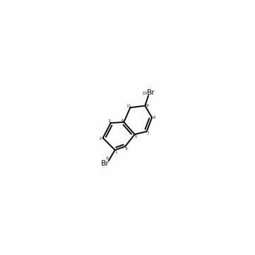 Brc1ccc2c(c1)C=CC(Br)C2